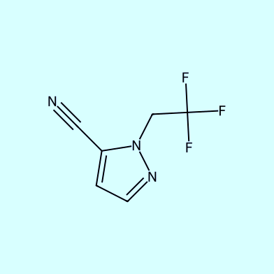 N#Cc1ccnn1CC(F)(F)F